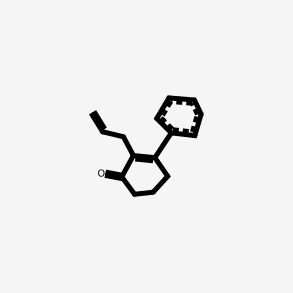 C=CCC1=C(c2ccccc2)CCCC1=O